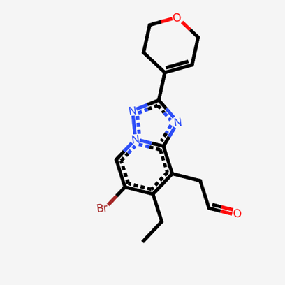 CCc1c(Br)cn2nc(C3=CCOCC3)nc2c1CC=O